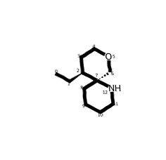 CC[C@H]1CCOC[C@]12CCCCN2